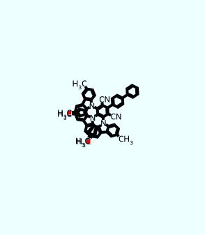 Cc1ccc2c(c1)c1cc(C)ccc1n2-c1c(C#N)c(-c2ccc(-c3ccccc3)cc2)c(C#N)c(-n2c3ccc(C)cc3c3cc(C)ccc32)c1-n1c2ccc(C)cc2c2cc(C)ccc21